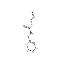 C=CCOC(=O)OCC1=CCCCC1